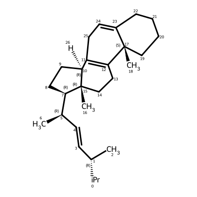 CC(C)[C@@H](C)C=C[C@@H](C)[C@H]1CC[C@H]2C3=C(CC[C@]12C)[C@@]1(C)CCCCC1=CC3